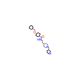 O=C(NCCC1CCN(Cc2cccnc2)CC1)c1ccc(OCc2ccccc2)cc1